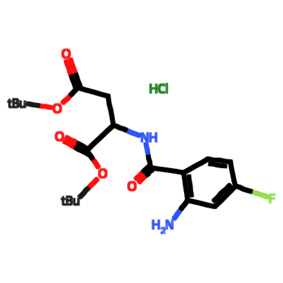 CC(C)(C)OC(=O)CC(NC(=O)c1ccc(F)cc1N)C(=O)OC(C)(C)C.Cl